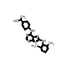 Cc1cccc(C)c1Nc1nc2c(Nc3ccc(C(C)O)cc3)ncnc2s1